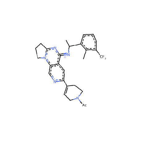 CC(=O)N1CC=C(c2cc3/c(=N/C(C)c4cccc(C(F)(F)F)c4C)nc4n(c3cn2)CCC4)CC1